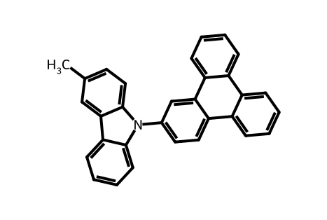 Cc1ccc2c(c1)c1ccccc1n2-c1ccc2c3ccccc3c3ccccc3c2c1